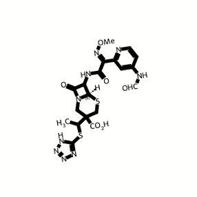 CON=C(C(=O)NC1C(=O)N2CC(C(=O)O)(C(C)Sc3nnn[nH]3)CS[C@H]12)c1cc(NC=O)ccn1